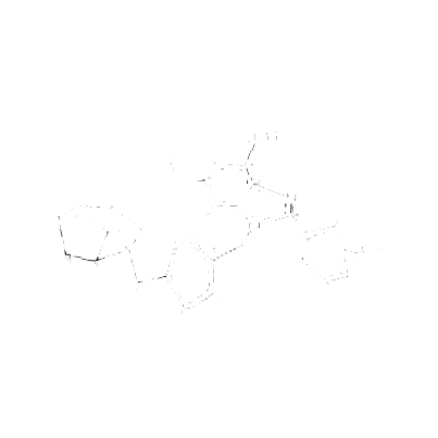 CCOc1nc(C)c2nc(-c3cncc(F)c3)n(Cc3ccc(CN4CCN5CCC4C5)cc3)c2n1